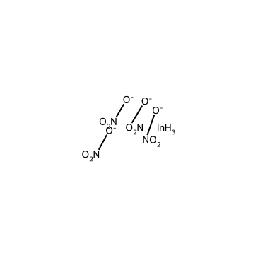 O=[N+]([O-])[O-].O=[N+]([O-])[O-].O=[N+]([O-])[O-].O=[N+]([O-])[O-].[InH3]